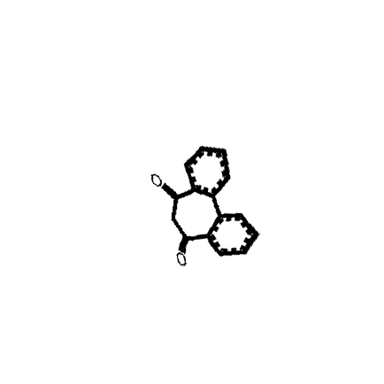 O=C1CC(=O)c2ccccc2-c2ccccc21